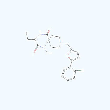 CCCCN1C(=O)C(CC(C)C)NC(=O)C12CCN(Cc1ccc(-c3ccccc3Cl)o1)CC2